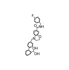 C[C@H](NC(=O)c1ccc2c(c1)OCCN2Cc1ccc(-c2ccccc2C(O)O)cc1)c1ccc(F)cc1